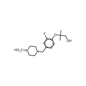 CC(C)(CO)Oc1ccc(CN2CCN(C(=O)O)CC2)cc1F